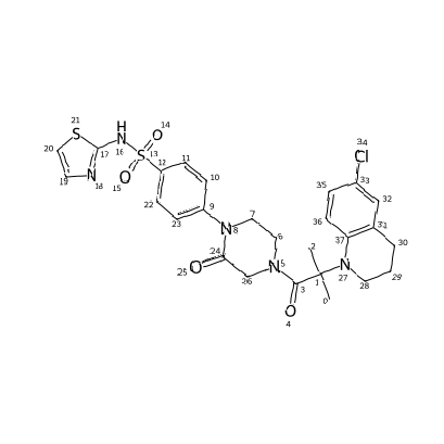 CC(C)(C(=O)N1CCN(c2ccc(S(=O)(=O)Nc3nccs3)cc2)C(=O)C1)N1CCCc2cc(Cl)ccc21